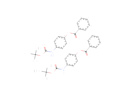 CC(C)(C)OC(=O)Nc1ccc(OC(=O)c2ccccc2)cc1.CC(C)(C)OC(=O)Nc1ccc(OC(=O)c2ccccc2)cc1